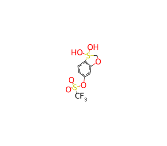 O=S(=O)(Oc1ccc2c(c1)OCS2(O)O)C(F)(F)F